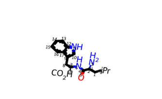 CC(C)C[C@H](N)C(=O)N[C@H](Cc1c[nH]c2ccccc12)C(=O)O